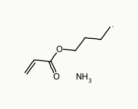 N.[CH2]CCCOC(=O)C=C